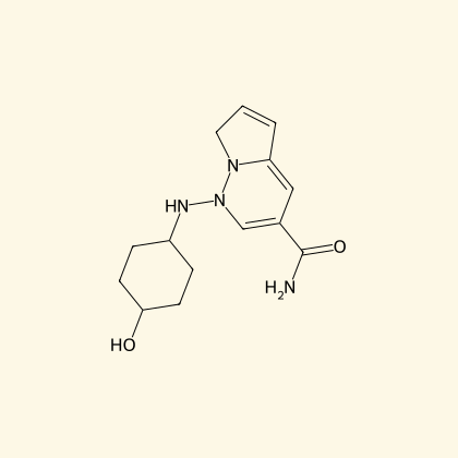 NC(=O)C1=CN(NC2CCC(O)CC2)N2CC=CC2=C1